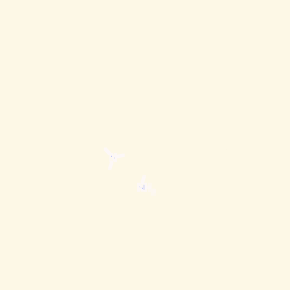 C[C@H](c1ccccc1)N(Cc1ccccc1)C(CN)CC1CCc2ccc(F)cc2C1